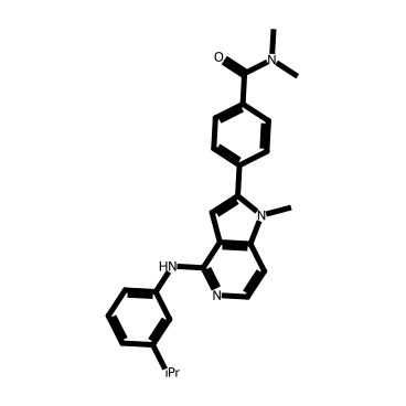 CC(C)c1cccc(Nc2nccc3c2cc(-c2ccc(C(=O)N(C)C)cc2)n3C)c1